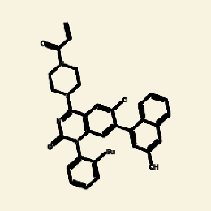 C=CC(=O)N1CCN(c2nc(=O)n(-c3ccccc3C(C)CC)c3cc(-c4cc(O)cc5ccccc45)c(Cl)cc23)CC1